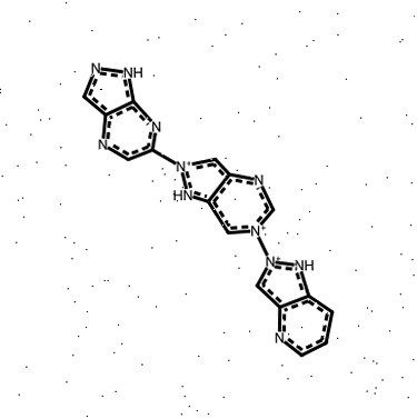 c1cnc2c[n+](-[n+]3cnc4c[n+](-c5cnc6cn[nH]c6n5)[nH]c4c3)[nH]c2c1